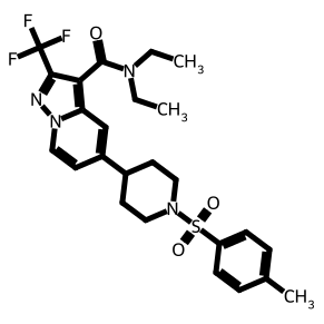 CCN(CC)C(=O)c1c(C(F)(F)F)nn2ccc(C3CCN(S(=O)(=O)c4ccc(C)cc4)CC3)cc12